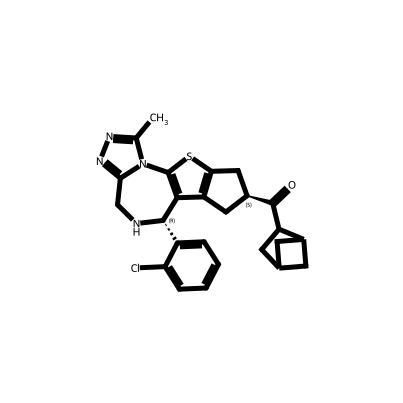 Cc1nnc2n1-c1sc3c(c1[C@H](c1ccccc1Cl)NC2)C[C@H](C(=O)C1CC2CC1C2)C3